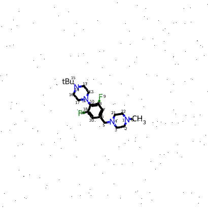 CN1CCN(Cc2cc(F)c(N3CCN(C(C)(C)C)CC3)c(F)c2)CC1